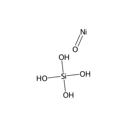 O[Si](O)(O)O.[O]=[Ni]